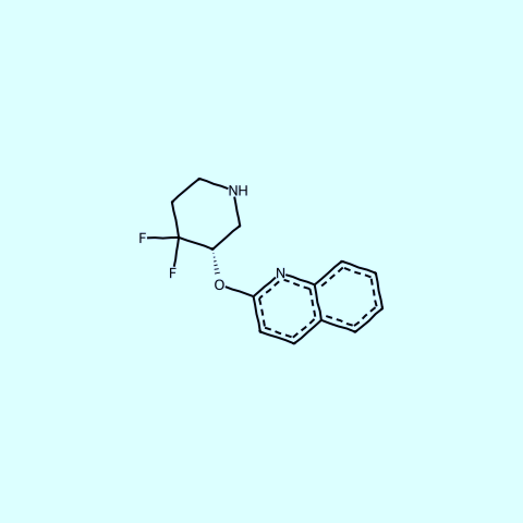 FC1(F)CCNC[C@@H]1Oc1ccc2ccccc2n1